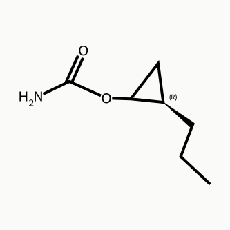 CCC[C@@H]1CC1OC(N)=O